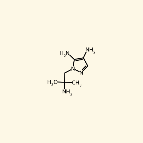 CC(C)(N)Cn1ncc(N)c1N